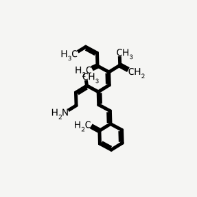 C=C(C)/C(=C/C(=C\C=c1\ccccc1=C)C(/C)=C\CN)C(=C)/C=C\C